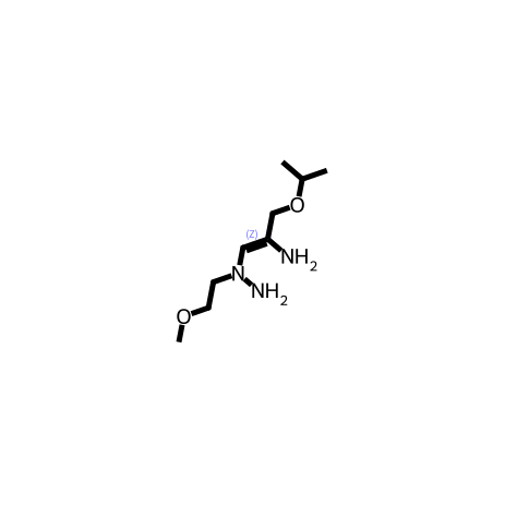 COCCN(N)/C=C(\N)COC(C)C